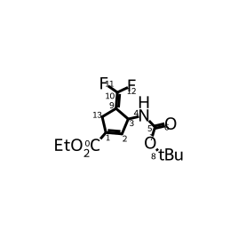 CCOC(=O)C1=CC(NC(=O)OC(C)(C)C)C(=C(F)F)C1